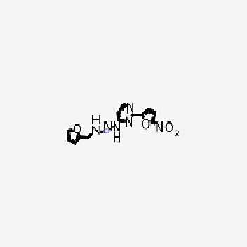 O=[N+]([O-])c1ccc(-c2nccc(N/N=C/NCc3ccco3)n2)o1